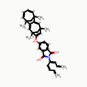 C=C/C=C\C(=C/C=C)N1C(=O)c2ccc(OC3=CC4(C)C=C5C(=CC3(C)C4)C3(C)C=CC=CC5(C)C3)cc2C1=O